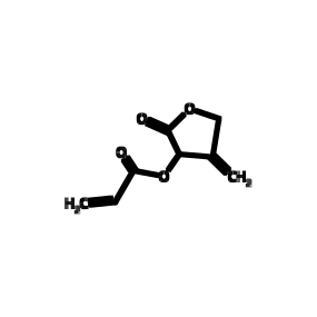 C=CC(=O)OC1C(=C)COC1=O